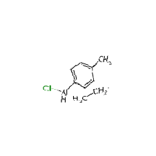 Cc1cc[c]([AlH][Cl])cc1.[CH2]C